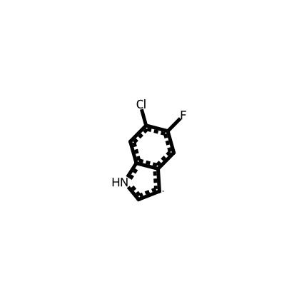 Fc1cc2[c]c[nH]c2cc1Cl